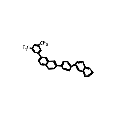 FC(F)(F)c1cc(-c2ccc3ccc(-c4ccc(-c5ccc6ccccc6c5)cc4)cc3c2)cc(C(F)(F)F)c1